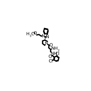 COCCCn1c([C@@H]2CCCN(C(=O)C[C@@H](N)CNC(=O)c3c(Cl)cccc3Cl)C2)nc2ccccc21